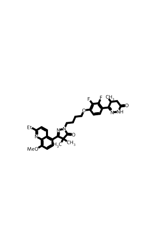 CCc1ccc2c(C3=NN(CCCCOc4ccc(C5=NNC(=O)CC5C)c(F)c4F)C(=O)C3(C)C)ccc(OC)c2n1